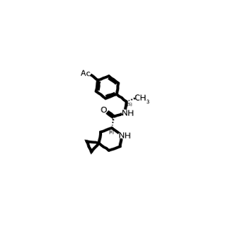 CC(=O)c1ccc([C@H](C)NC(=O)[C@H]2CC3(CCN2)CC3)cc1